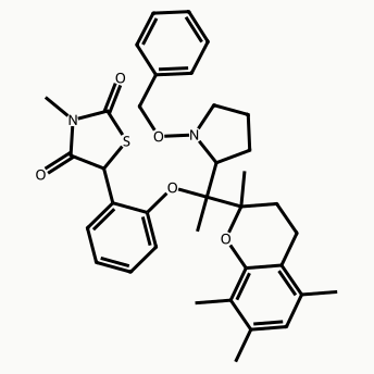 Cc1cc(C)c2c(c1C)OC(C)(C(C)(Oc1ccccc1C1SC(=O)N(C)C1=O)C1CCCN1OCc1ccccc1)CC2